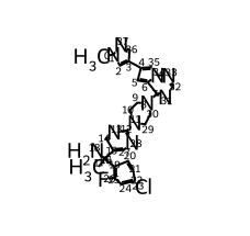 Cn1cc(-c2cc3c(N4CCN(c5ncc([C@@](C)(N)c6ccc(Cl)cc6F)cn5)CC4)ncnn3c2)cn1